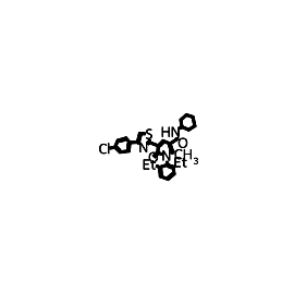 CCc1cccc(CC)c1-n1c(C)c(C(=O)NC2CCCCC2)cc(-c2nc(-c3ccc(Cl)cc3)cs2)c1=O